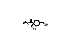 C=COC(=C)C1(CO)CCC(CO)CC1